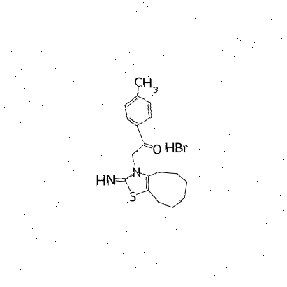 Br.Cc1ccc(C(=O)Cn2c3c(sc2=N)CCCCCC3)cc1